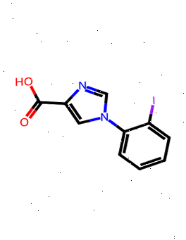 O=C(O)c1cn(-c2ccccc2I)cn1